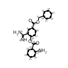 N=C(N)c1cc(C(=O)OCc2ccccc2)ccc1OC(=O)c1ccccc1N